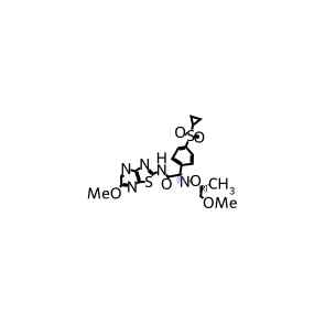 COC[C@@H](C)O/N=C(/C(=O)Nc1nc2ncc(OC)nc2s1)c1ccc(S(=O)(=O)C2CC2)cc1